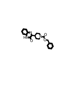 O=C(OCc1ccccc1)N1CCC(c2nc3ccccc3[nH]c2=O)CC1